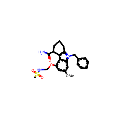 COc1cc(OCNS(C)(=O)=O)c2c3c(n(Cc4ccccc4)c2c1)CCCC3C(N)=O